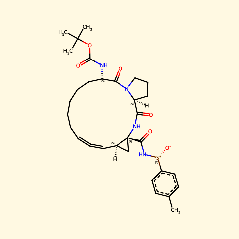 Cc1ccc([S@@+]([O-])NC(=O)[C@@]23C[C@H]2C=C=CCCCCC[C@H](NC(=O)OC(C)(C)C)C(=O)N2CCC[C@H]2C(=O)N3)cc1